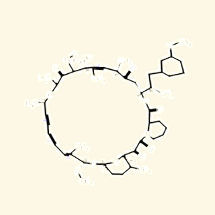 COC1CCCC(C[C@@H](C)[C@@H]2CC(=O)[C@H](C)/C=C(\C)[C@@H](O)C(OC)C(=O)C(C)C[C@H](C)/C=C/C=C/C=C(\C)[C@@H](OC)C[C@@H]3CCC(C)C(O)(O3)C(=O)C(=O)N3CCCCC3C(=O)O2)C1